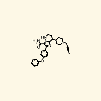 CC#CCN1CCC(C2CCNn3c2nc(-c2ccc(Oc4ccccc4)cc2)c3C(N)=O)CC1